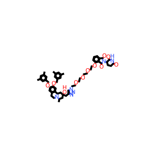 Cc1cc(C)cc(COc2cc3c(cc2OCc2cc(C)cc(C)c2)C2CC(O)(Cc4cn(CCOCCOCCOCCOc5cccc6c5C(=O)N(C5CCC(=O)NC5=O)C6=O)nn4)CC(C)N2CC3)c1